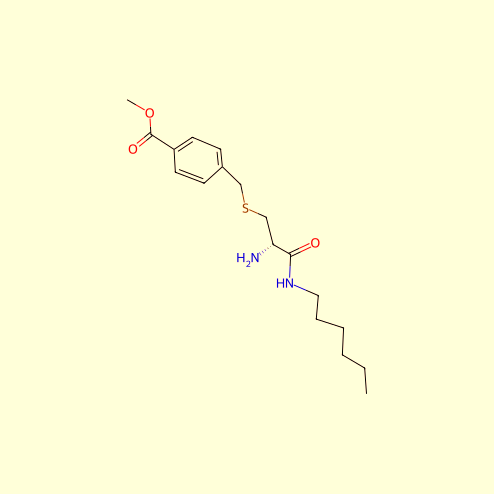 CCCCCCNC(=O)[C@H](N)CSCc1ccc(C(=O)OC)cc1